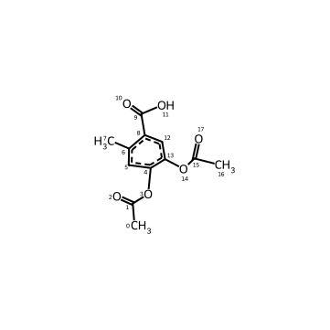 CC(=O)Oc1cc(C)c(C(=O)O)cc1OC(C)=O